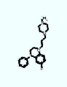 CN1CCN(CCCN2CCN(c3ccccc3)c3cc(F)ccc32)CC1